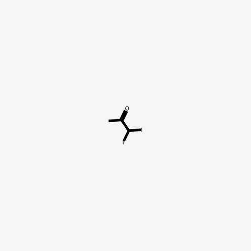 CC(=O)C(I)I